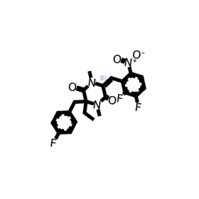 CCC1(Cc2ccc(F)cc2)C(=O)N(C)/C(=C/c2c([N+](=O)[O-])ccc(F)c2F)C(=O)N1C